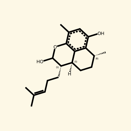 CC(C)=CCC[C@@H]1C(O)Oc2c(C)cc(O)c3c2[C@H]1CC[C@H]3C